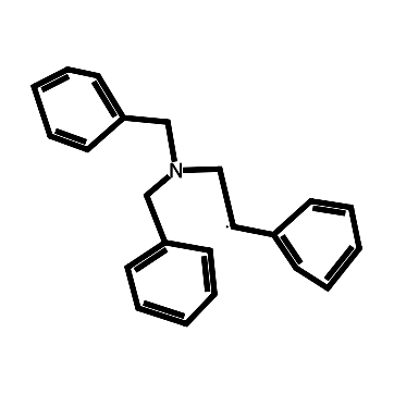 [CH](CN(Cc1ccccc1)Cc1ccccc1)c1ccccc1